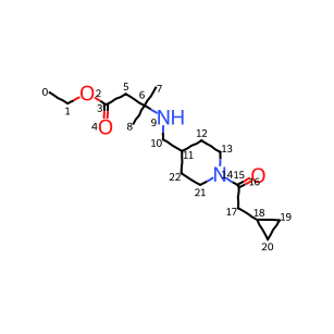 CCOC(=O)CC(C)(C)NCC1CCN(C(=O)CC2CC2)CC1